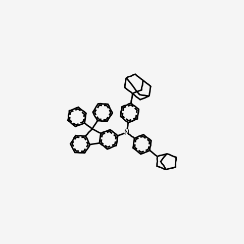 c1ccc(C2(c3ccccc3)c3ccccc3-c3ccc(N(c4ccc(C5CC6CCC5C6)cc4)c4ccc(C56CC7CC(CC(C7)C5)C6)cc4)cc32)cc1